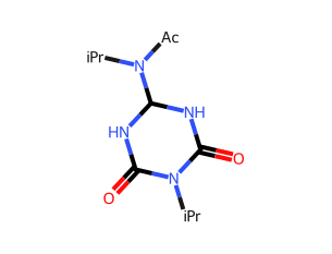 CC(=O)N(C(C)C)C1NC(=O)N(C(C)C)C(=O)N1